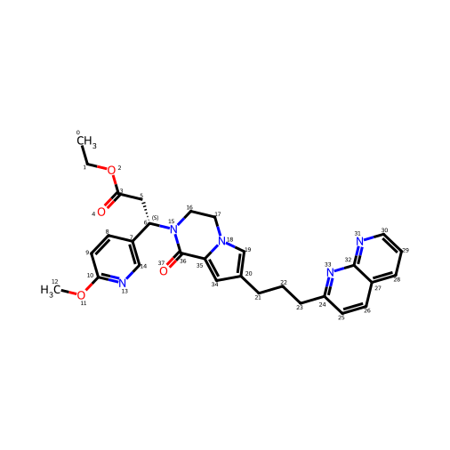 CCOC(=O)C[C@@H](c1ccc(OC)nc1)N1CCn2cc(CCCc3ccc4cccnc4n3)cc2C1=O